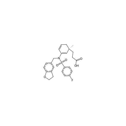 C[C@]1(CCC(=O)O)C=C(N(Cc2ccc3c(c2)CCO3)S(=O)(=O)c2ccc(F)cc2)C=CC1